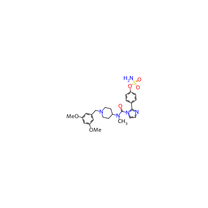 COc1cc(CN2CCC(N(C)C(=O)n3ccnc3-c3ccc(OS(N)(=O)=O)cc3)CC2)cc(OC)c1